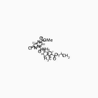 C=CCOC(=O)c1ccc2c(c1C)CC[C@@H]2NC(=O)c1cc(C(=O)OC)nc2cc(Cl)nn12